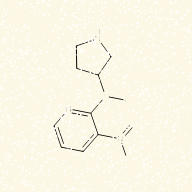 O=[N+]([O-])c1cccnc1[S+]([O-])C1CCNC1